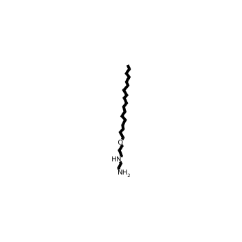 CCCCCCCCCCCCCCCCCCOCCCNCCN